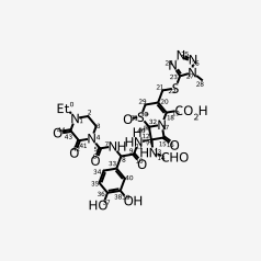 CCN1CCN(C(=O)NC(C(=O)N[C@]2(NC=O)C(=O)N3C(C(=O)O)=C(CSc4nnnn4C)C[S+]([O-])[C@@H]32)c2ccc(O)c(O)c2)C(=O)C1=O